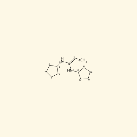 CC=C(NC1CCCC1)NC1CCCC1